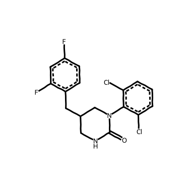 O=C1NCC(Cc2ccc(F)cc2F)CN1c1c(Cl)cccc1Cl